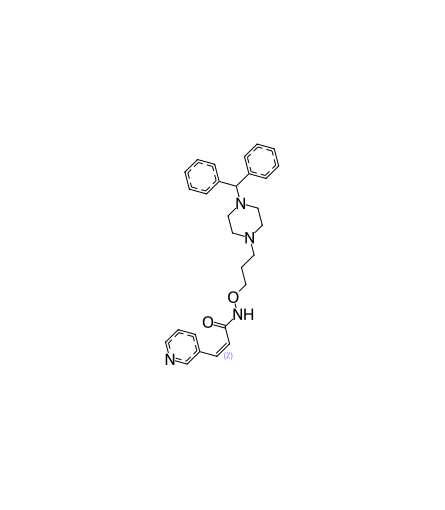 O=C(/C=C\c1cccnc1)NOCCCN1CCN(C(c2ccccc2)c2ccccc2)CC1